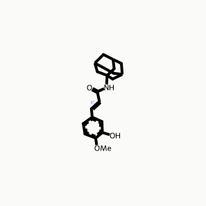 COc1ccc(/C=C/C(=O)NC23CC4CC(CC(C4)C2)C3)cc1O